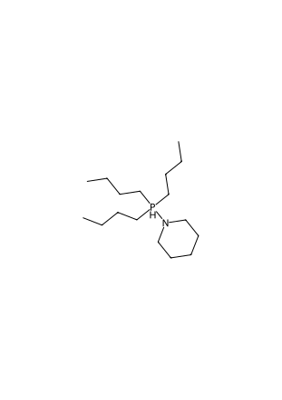 CCCC[PH](CCCC)(CCCC)N1CCCCC1